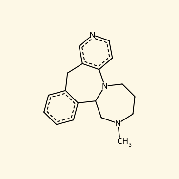 CN1CCCN2c3ccncc3Cc3ccccc3C2C1